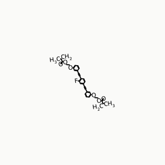 C=C(C)C(=O)OCCOc1cccc(C#Cc2ccc(C#Cc3cccc(OCCOC(=O)C(=C)C)c3)c(F)c2)c1